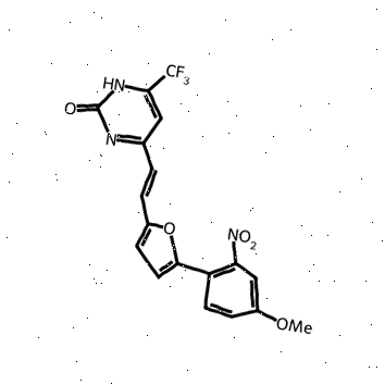 COc1ccc(-c2ccc(C=Cc3cc(C(F)(F)F)[nH]c(=O)n3)o2)c([N+](=O)[O-])c1